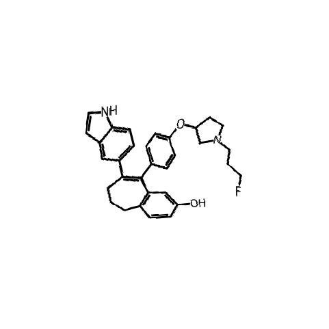 Oc1ccc2c(c1)C(c1ccc(OC3CCN(CCCF)C3)cc1)=C(c1ccc3[nH]ccc3c1)CCC2